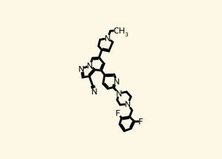 CCN1CC=C(c2cc(-c3ccc(N4CCN(Cc5c(F)cccc5F)CC4)nc3)c3c(C#N)cnn3c2)CC1